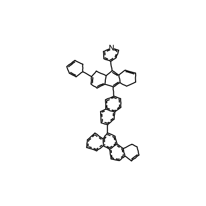 C1=CCC(C2=CC=C3C(c4ccc5cc(-c6cc7c8c(ccc7c7ccccc67)C=CCC8)ccc5c4)=C4CCC=CC4=C(c4ccncc4)C3C2)C=C1